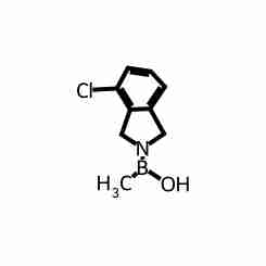 CB(O)N1Cc2cccc(Cl)c2C1